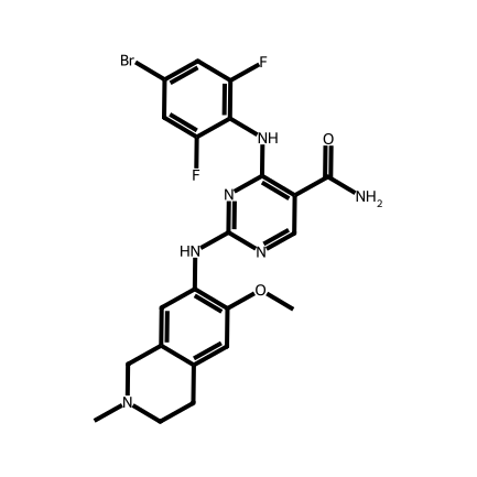 COc1cc2c(cc1Nc1ncc(C(N)=O)c(Nc3c(F)cc(Br)cc3F)n1)CN(C)CC2